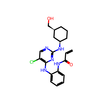 C=CC(=O)Nc1ccccc1Nc1nc(N[C@@H]2CCC[C@H](CO)C2)ncc1Cl